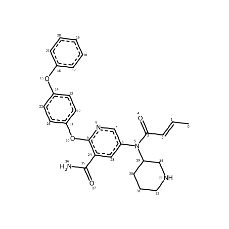 C/C=C/C(=O)N(c1cnc(Oc2ccc(Oc3ccccc3)cc2)c(C(N)=O)c1)C1CCCNC1